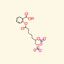 O=C(CCCCC(CO[N+](=O)[O-])O[N+](=O)[O-])Oc1ccccc1C(=O)O